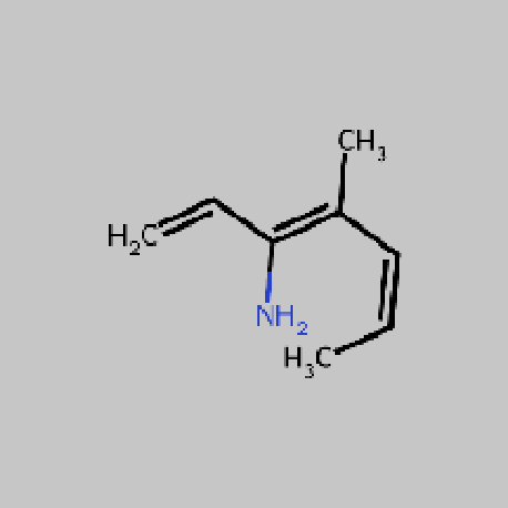 C=C/C(N)=C(C)/C=C\C